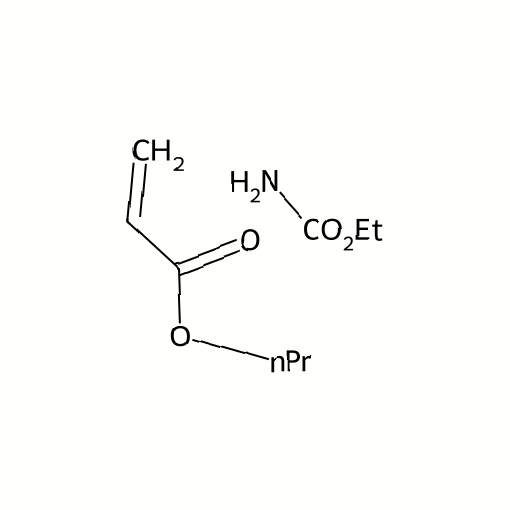 C=CC(=O)OCCC.CCOC(N)=O